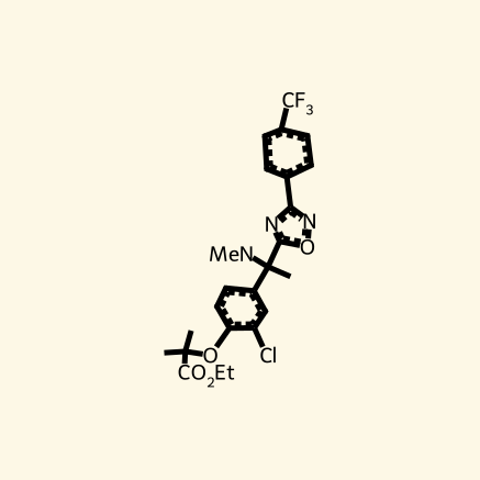 CCOC(=O)C(C)(C)Oc1ccc(C(C)(NC)c2nc(-c3ccc(C(F)(F)F)cc3)no2)cc1Cl